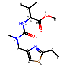 CCc1nc(CN(C)C(=O)N[C@H](C(=O)OC)C(C)C)cs1